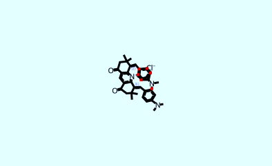 CN(C)c1ccc(/C=C2\c3c(cc4c([n+]3-c3ccccc3)/C(=C/c3ccc(N(C)C)cc3)C(C)(C)CC4=O)C(=O)CC2(C)C)cc1.[Cl-]